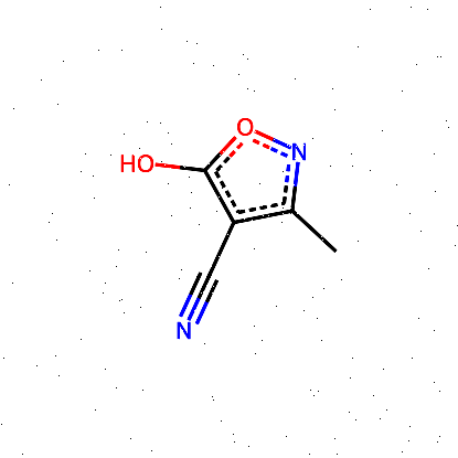 Cc1noc(O)c1C#N